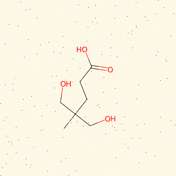 CC(CO)(CO)CCC(=O)O